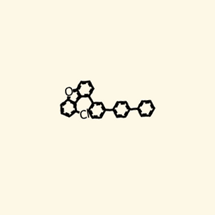 Clc1cccc2oc3cccc(-c4cccc(-c5ccc(-c6ccccc6)cc5)c4)c3c12